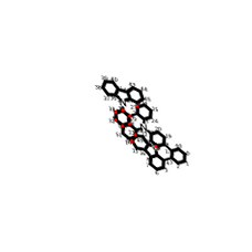 c1ccc(-c2cccc3c2oc2ccccc23)c(-c2ccc(N(c3ccccc3-c3ccccc3-n3c4ccccc4c4ccccc43)c3cccc4ccccc34)cc2)c1